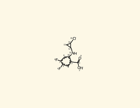 O=C(O)c1cc(F)c(F)cc1NC1CC1Cl